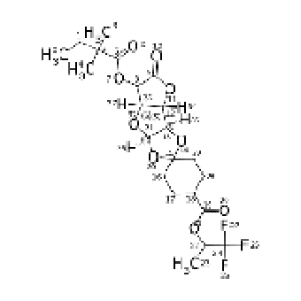 CCC(C)(C)C(=O)OC1C(=O)O[C@@H]2[C@H]3OC4(CCC(C(=O)OC(C)C(F)(F)F)CC4)O[C@H]3O[C@H]12